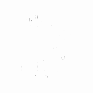 CC1(C2CCCC2)Cc2cc(OCc3cccc(-c4cccc(-c5nn[nH]n5)c4)c3)c(Cl)c(Cl)c2C1=O